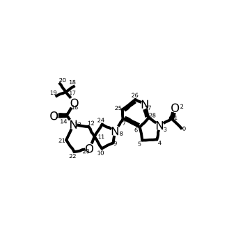 CC(=O)N1CCc2c(N3CCC4(CN(C(=O)OC(C)(C)C)CCO4)C3)ccnc21